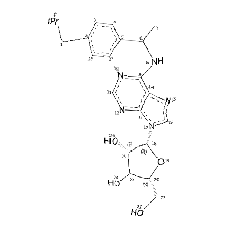 CC(C)Cc1ccc(C(C)Nc2ncnc3c2ncn3[C@@H]2O[C@H](CO)C(O)[C@@H]2O)cc1